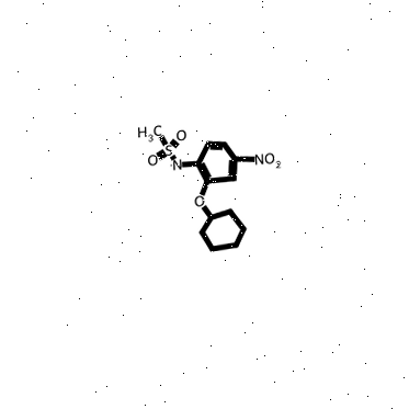 CS(=O)(=O)[N]c1ccc([N+](=O)[O-])cc1OC1CCCCC1